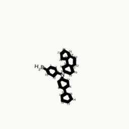 Bc1ccc(N(c2ccc(-c3ccccc3)cc2)c2ccc3ccc4ccccc4c3c2)cc1